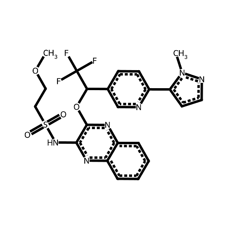 COCCS(=O)(=O)Nc1nc2ccccc2nc1OC(c1ccc(-c2ccnn2C)nc1)C(F)(F)F